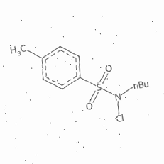 CCCCN(Cl)S(=O)(=O)c1ccc(C)cc1